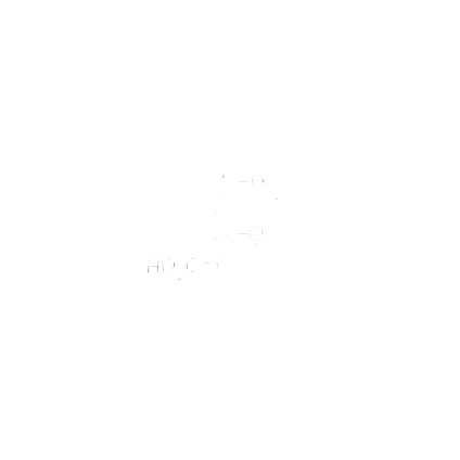 O=C(O)CC1=CCOCO1